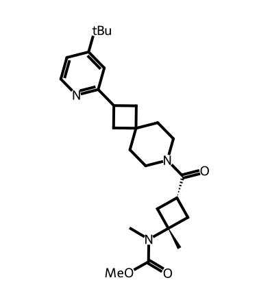 COC(=O)N(C)[C@]1(C)C[C@H](C(=O)N2CCC3(CC2)CC(c2cc(C(C)(C)C)ccn2)C3)C1